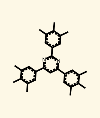 Cc1cc(-c2cc(-c3cc(C)c(C)c(C)c3)nc(-c3cc(C)c(C)c(C)c3)n2)cc(C)c1C